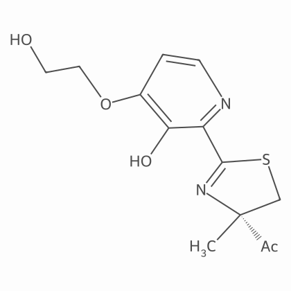 CC(=O)[C@@]1(C)CSC(c2nccc(OCCO)c2O)=N1